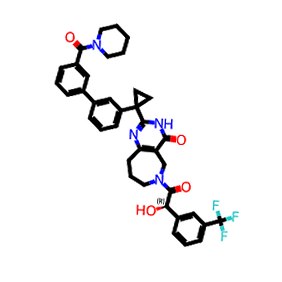 O=C(c1cccc(-c2cccc(C3(c4nc5c(c(=O)[nH]4)CN(C(=O)[C@H](O)c4cccc(C(F)(F)F)c4)CCC5)CC3)c2)c1)N1CCCCC1